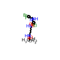 CC(C)(C)OC(=O)NCCCCCCCNS(=O)(=O)c1cc(-c2nc(-c3ccc(Br)c(F)c3)c[nH]2)ccc1Cl